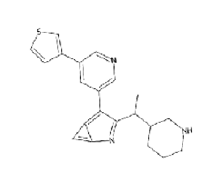 CC(c1nc2cc-2c1-c1cncc(-c2ccsc2)c1)C1CCCNC1